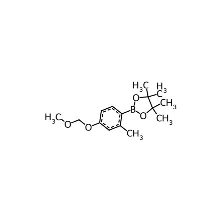 COCOc1ccc(B2OC(C)(C)C(C)(C)O2)c(C)c1